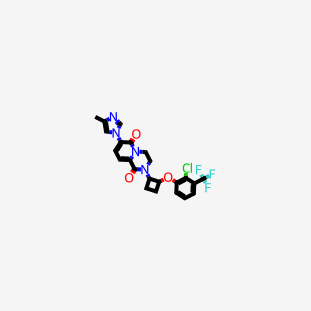 Cc1cn(-c2ccc3n(c2=O)CCN(C2CCC2Oc2cccc(C(F)(F)F)c2Cl)C3=O)cn1